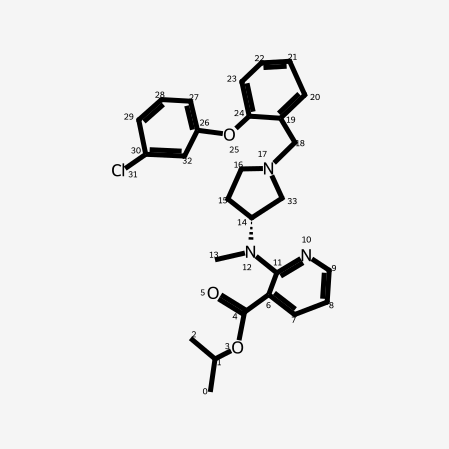 CC(C)OC(=O)c1cccnc1N(C)[C@@H]1CCN(Cc2ccccc2Oc2cccc(Cl)c2)C1